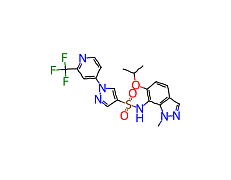 CC(C)Oc1ccc2cnn(C)c2c1NS(=O)(=O)c1cnn(-c2ccnc(C(F)(F)F)c2)c1